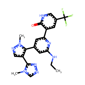 CCNc1cc(-c2c(-c3nncn3C)cnn2C)cc(-c2cc(C(F)(F)F)c[nH]c2=O)n1